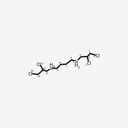 ClCC(Cl)C[SiH2]CCCC[SiH2]CC(Cl)CCl